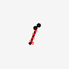 C=C(C)C(=O)OCCOCCOCCOc1cccc(-c2ccccc2)c1